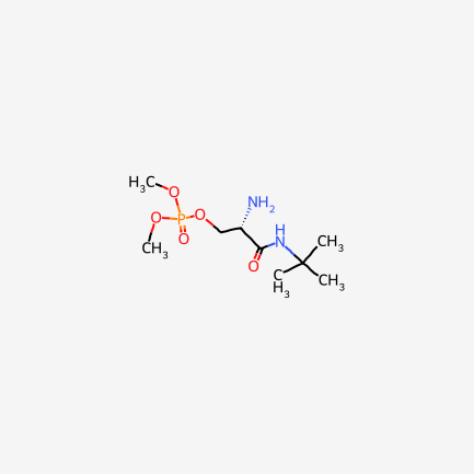 COP(=O)(OC)OC[C@H](N)C(=O)NC(C)(C)C